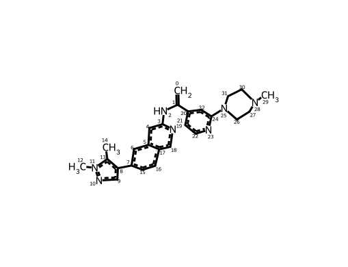 C=C(Nc1cc2cc(-c3cnn(C)c3C)ccc2cn1)c1ccnc(N2CCN(C)CC2)c1